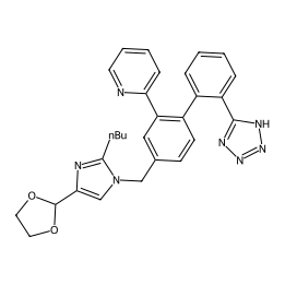 CCCCc1nc(C2OCCO2)cn1Cc1ccc(-c2ccccc2-c2nnn[nH]2)c(-c2ccccn2)c1